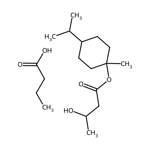 CC(O)CC(=O)OC1(C)CCC(C(C)C)CC1.CCCC(=O)O